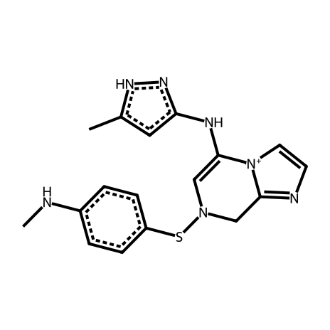 CNc1ccc(SN2C=C(Nc3cc(C)[nH]n3)[N+]3C=CN=C3C2)cc1